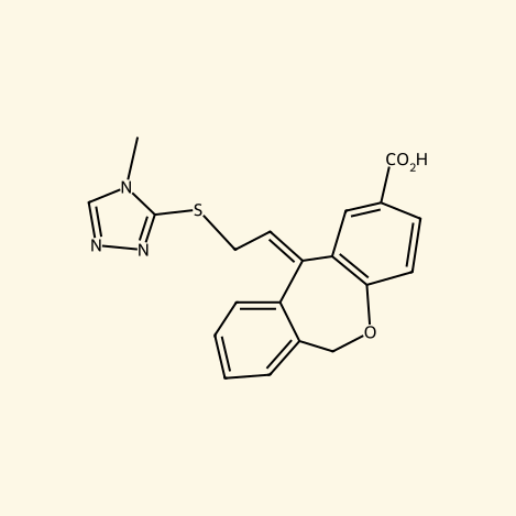 Cn1cnnc1SC/C=C1\c2ccccc2COc2ccc(C(=O)O)cc21